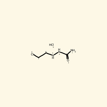 Cl.NC(=O)NNCCCl